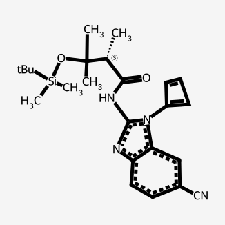 C[C@H](C(=O)Nc1nc2ccc(C#N)cc2n1C1=CC=C1)C(C)(C)O[Si](C)(C)C(C)(C)C